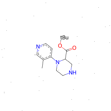 Cc1[c]nccc1N1CCNCC1C(=O)OC(C)(C)C